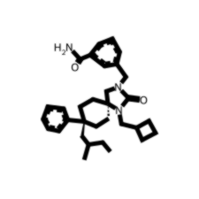 CCC(C)C[C@]1(c2ccccc2)CC[C@]2(CC1)CN(Cc1cccc(C(N)=O)c1)C(=O)N2CC1CCC1